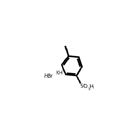 Br.Cc1ccc(S(=O)(=O)O)cc1.[KH]